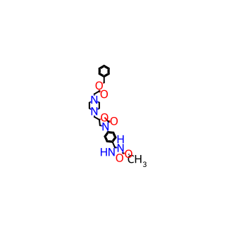 COC(=O)NC(=N)c1ccc(N2CC(CN3CCN(CC(=O)OCc4ccccc4)CC3)OC2=O)cc1